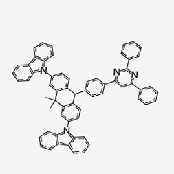 CC1(C)c2cc(-n3c4ccccc4c4ccccc43)ccc2C(c2ccc(-c3cc(-c4ccccc4)nc(-c4ccccc4)n3)cc2)c2ccc(-n3c4ccccc4c4ccccc43)cc21